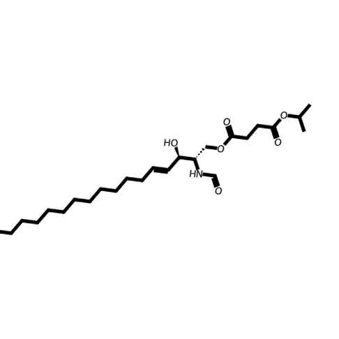 CCCCCCCCCCCCC/C=C/[C@@H](O)[C@H](COC(=O)CCC(=O)OC(C)C)NC=O